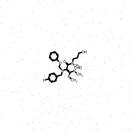 C=N/C(=C(/C(=O)N(C)CCCO)N(COc1ccccc1)Cc1ccc(F)cc1)N(C)C=O